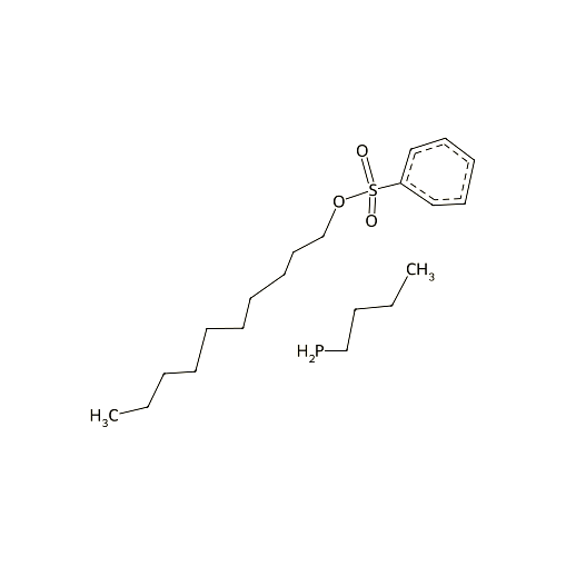 CCCCCCCCCCOS(=O)(=O)c1ccccc1.CCCCP